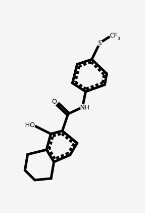 O=C(Nc1ccc(SC(F)(F)F)cc1)c1ccc2c(c1O)CCCC2